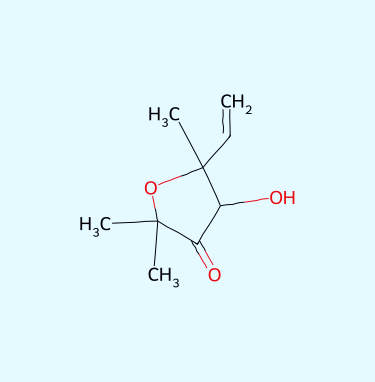 C=CC1(C)OC(C)(C)C(=O)C1O